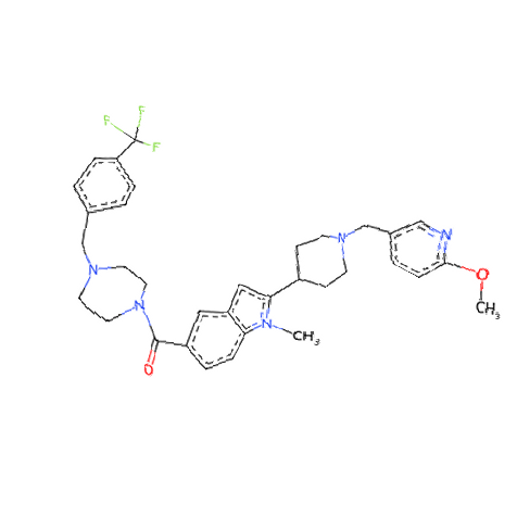 COc1ccc(CN2CCC(c3cc4cc(C(=O)N5CCN(Cc6ccc(C(F)(F)F)cc6)CC5)ccc4n3C)CC2)cn1